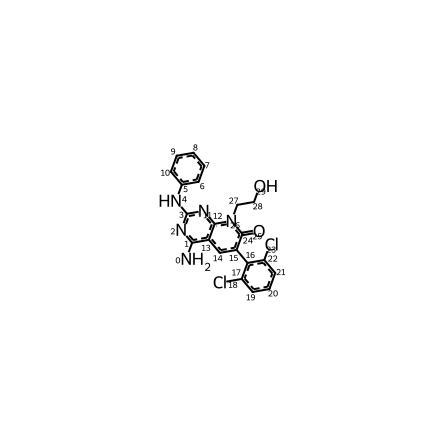 Nc1nc(Nc2ccccc2)nc2c1cc(-c1c(Cl)cccc1Cl)c(=O)n2CCO